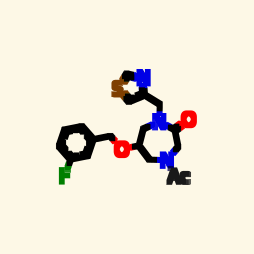 CC(=O)N1CC(=O)N(Cc2cscn2)CC(OCc2cccc(F)c2)C1